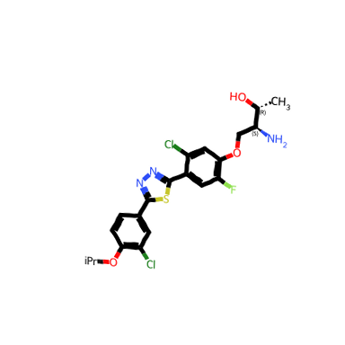 CC(C)Oc1ccc(-c2nnc(-c3cc(F)c(OC[C@H](N)[C@@H](C)O)cc3Cl)s2)cc1Cl